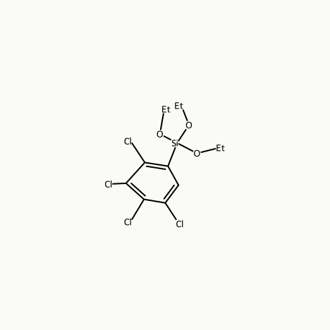 CCO[Si](OCC)(OCC)c1cc(Cl)c(Cl)c(Cl)c1Cl